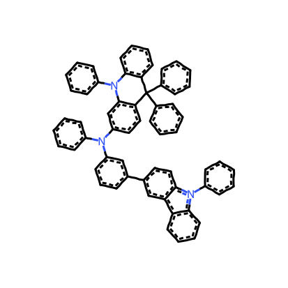 c1ccc(N(c2cccc(-c3ccc4c(c3)c3ccccc3n4-c3ccccc3)c2)c2ccc3c(c2)N(c2ccccc2)c2ccccc2C3(c2ccccc2)c2ccccc2)cc1